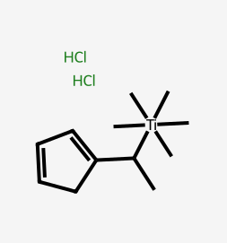 C[CH](C1=CC=CC1)[Ti]([CH3])([CH3])([CH3])([CH3])[CH3].Cl.Cl